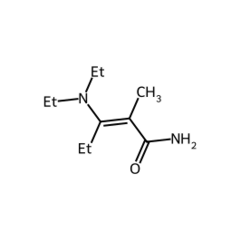 CCC(=C(C)C(N)=O)N(CC)CC